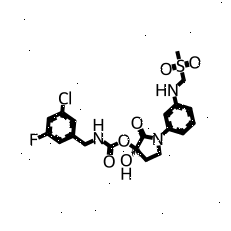 CS(=O)(=O)CNc1cccc(N2CC[C@@](O)(OC(=O)NCc3cc(F)cc(Cl)c3)C2=O)c1